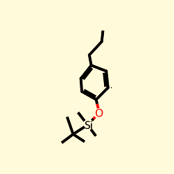 CCCc1c[c]c(O[Si](C)(C)C(C)(C)C)cc1